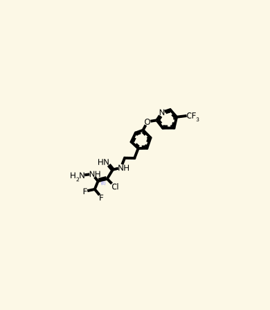 N=C(NCCc1ccc(Oc2ccc(C(F)(F)F)cn2)cc1)/C(Cl)=C(\NN)C(F)F